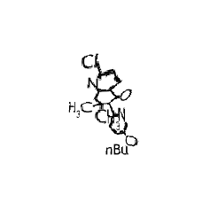 CCCCOc1ccc(C2C(=O)c3ccc(Cl)nc3CC2(C)C)nc1